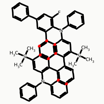 C[Si](C)(C)c1cc(N(c2ccccc2)c2ccccc2)c2c3ccccc3c3c([Si](C)(C)C)cc(N(c4ccccc4)c4c(F)cc(-c5ccccc5)cc4-c4ccccc4)c4ccc1c2c43